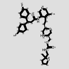 CC1(CNC(=O)OC[C@@H]2CO[C@H](CCc3c(F)cncc3NC(=O)CC(c3ccc(F)cc3)c3ccc(F)cc3)CN2)CCCO1